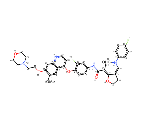 COc1cc2c(Oc3ccc(NC(=O)/C(C)=C4\OCC\C4=C\N(C=O)c4ccc(F)cc4)cc3F)ccnc2cc1OCCN1CCOCC1